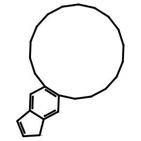 [CH]1C=Cc2cc3c(cc21)CCCCCCCCCCCCCCCC3